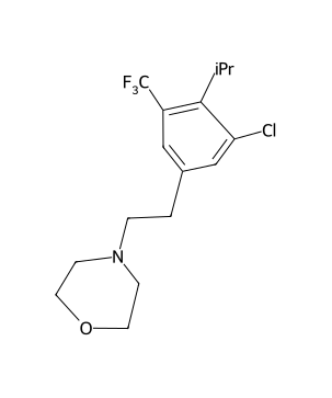 CC(C)c1c(Cl)cc(CCN2CCOCC2)cc1C(F)(F)F